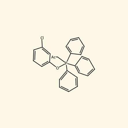 CC(=O)CP(Oc1cccc(Cl)c1)(c1ccccc1)(c1ccccc1)c1ccccc1